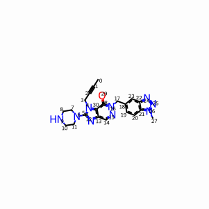 CC#CCn1c(N2CCNCC2)nc2cnn(Cc3ccc4c(c3)nnn4C)c(=O)c21